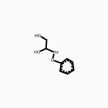 OCC(O)POc1ccccc1